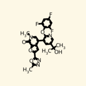 Cc1nnc(-c2cc3c(-c4cc(C(C)(C)O)cnc4Oc4c(F)cc(F)cc4F)cn(C)c(=O)c3o2)o1